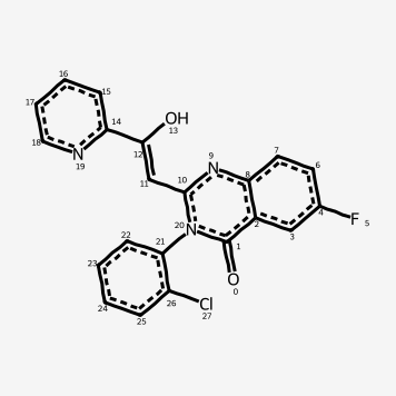 O=c1c2cc(F)ccc2nc(C=C(O)c2ccccn2)n1-c1ccccc1Cl